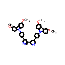 COc1ccc2c(c1)c1cc(OC)ccc1n2-c1ccc(-c2cncc(-c3cncc(-c4ccc(-n5c6ccc(OC)cc6c6cc(OC)ccc65)cc4)c3)c2)cc1